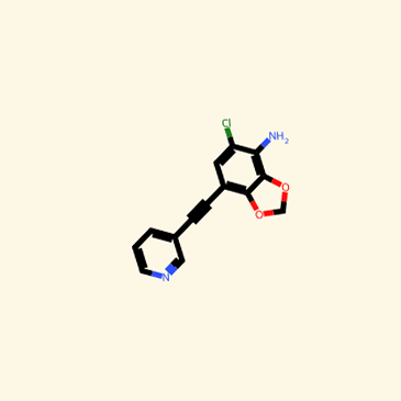 Nc1c(Cl)cc(C#Cc2cccnc2)c2c1OCO2